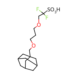 O=S(=O)(O)C(F)(F)COCCCOCC12CC3CC(CC(C3)C1)C2